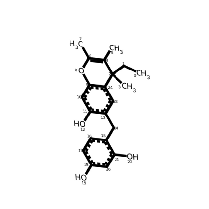 CCC1(C)C(C)=C(C)Oc2cc(O)c(Cc3ccc(O)cc3O)cc21